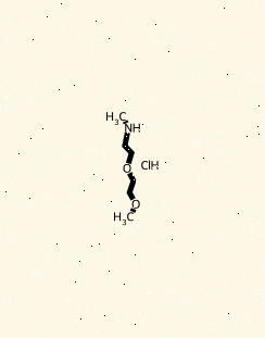 CNCCOCCOC.Cl